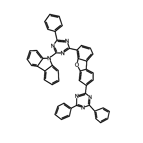 c1ccc(-c2nc(-c3ccccc3)nc(-c3ccc4c(c3)oc3c(-c5nc(-c6ccccc6)nc(-n6c7ccccc7c7ccccc76)n5)cccc34)n2)cc1